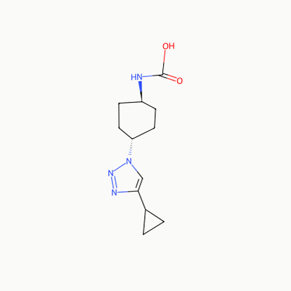 O=C(O)N[C@H]1CC[C@H](n2cc(C3CC3)nn2)CC1